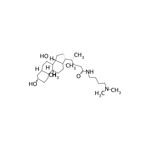 C[C@H](CCC(=O)NCCCCN(C)C)[C@H]1CC[C@H]2[C@@H]3[C@@H](O)C[C@@H]4C[C@H](O)CC[C@]4(C)[C@H]3CC[C@]12C